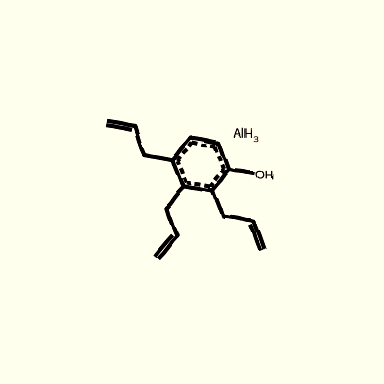 C=CCc1ccc(O)c(CC=C)c1CC=C.[AlH3]